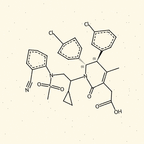 CC1=C(CC(=O)O)C(=O)N(C(CN(c2ccccc2C#N)S(C)(=O)=O)C2CC2)[C@H](c2ccc(Cl)cc2)[C@H]1c1cccc(Cl)c1